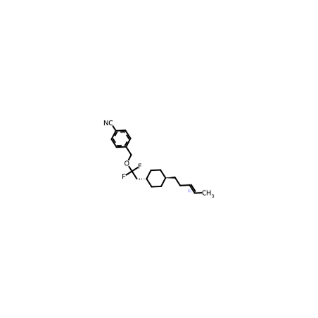 C/C=C/CC[C@H]1CC[C@H](CC(F)(F)OCc2ccc(C#N)cc2)CC1